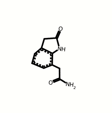 NC(=O)Cc1cccc2c1NC(=O)C2